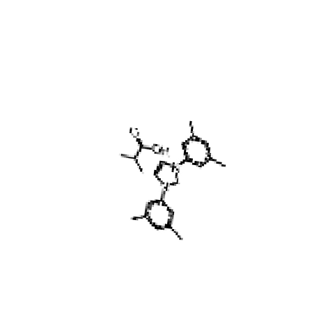 CC(C)C(=O)O.Cc1cc(C)cc(N2C=CN(c3cc(C)cc(C)c3)C2)c1